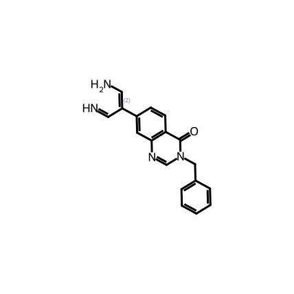 N=C/C(=C\N)c1ccc2c(=O)n(Cc3ccccc3)cnc2c1